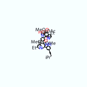 CCC1=C[C@H]2CN(C1)Cc1c([nH]c3ccc(C#CCC(C)C)cc13)[C@@](C(=O)OC)(c1cc3c(cc1OC)N(C)[C@H]1[C@@](O)(C(=O)OC)[C@H](OC(C)=O)C4C(CC)=CCN5CC[C@]31[C@H]45)C2